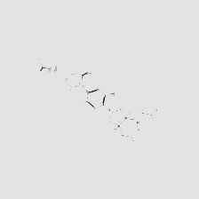 CC(=O)NC[C@H]1CN(c2ccc(N3C[C@H]4CCCN(CCO)[C@H]4C3)c(F)c2)C(=O)O1